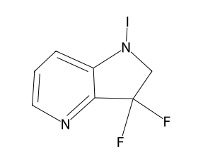 FC1(F)CN(I)c2cccnc21